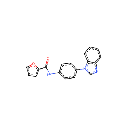 O=C(Nc1ccc(-n2cnc3ccccc32)cc1)c1ccco1